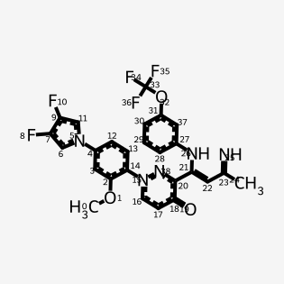 COc1cc(-n2cc(F)c(F)c2)ccc1-n1ccc(=O)c(/C(=C/C(C)=N)Nc2cccc(OC(F)(F)F)c2)n1